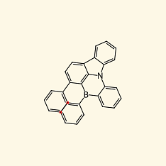 c1ccc(B2c3ccccc3-n3c4ccccc4c4ccc(-c5ccccc5)c2c43)cc1